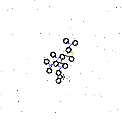 CC1(C)c2ccccc2-c2ccc(N3c4ccccc4B4c5cc6c(cc5N(c5ccccc5)c5cc(N(c7ccccc7)c7ccccc7)cc3c54)Sc3cc(N(c4ccccc4)c4ccccc4)cc4c3B6c3ccccc3S4)cc21